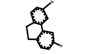 Brc1ccc2c(c1)-c1cc(Br)ccc1CC2